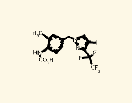 Cc1cc(Cn2cc(I)c(C(F)(F)C(F)(F)F)n2)ccc1NC(=O)O